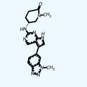 CN1C[C@H](Nc2ncc3c(-c4ccc5nnn(C)c5c4)c[nH]c3n2)CCC1=O